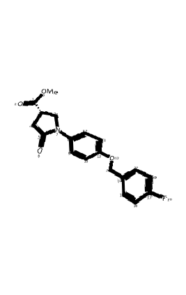 COC(=O)[C@H]1CC(=O)N(c2ccc(OCc3ccc(F)cc3)cc2)C1